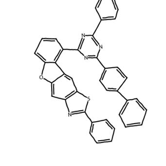 c1ccc(-c2ccc(-c3nc(-c4ccccc4)nc(-c4cccc5oc6cc7nc(-c8ccccc8)sc7cc6c45)n3)cc2)cc1